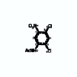 CC(=O)Nc1cc([N+](=O)[O-])c(Cl)cc1Cl